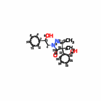 CC1=NN(CC(O)c2ccccc2)C(=O)C1(C)c1ccccc1O